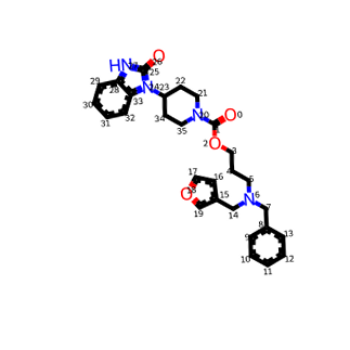 O=C(OCCCN(Cc1ccccc1)Cc1ccoc1)N1CCC(n2c(=O)[nH]c3ccccc32)CC1